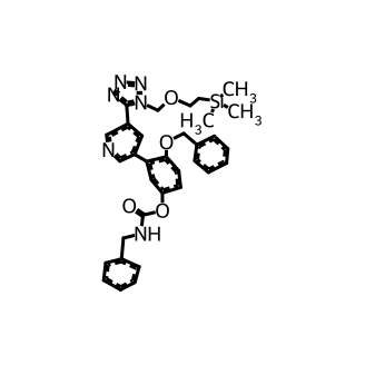 C[Si](C)(C)CCOCn1nnnc1-c1cncc(-c2cc(OC(=O)NCc3ccccc3)ccc2OCc2ccccc2)c1